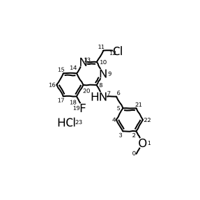 COc1ccc(CNc2nc(CCl)nc3cccc(F)c23)cc1.Cl